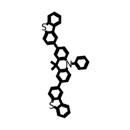 CC1(C)c2cc(-c3ccc4sc5ccccc5c4c3)ccc2N(c2ccccc2)c2ccc(-c3ccc4sc5ccccc5c4c3)cc21